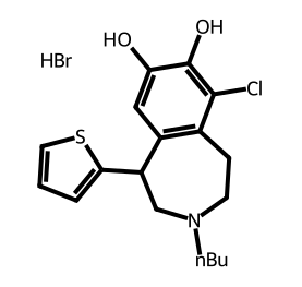 Br.CCCCN1CCc2c(cc(O)c(O)c2Cl)C(c2cccs2)C1